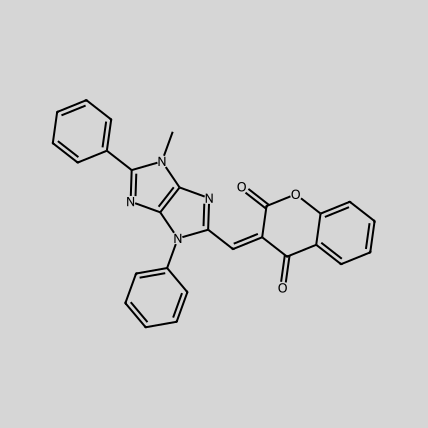 Cn1c(-c2ccccc2)nc2c1nc(/C=C1\C(=O)Oc3ccccc3C1=O)n2-c1ccccc1